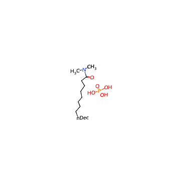 CCCCCCCCCCCCCCCCCC(=O)N(C)C.O=P(O)(O)O